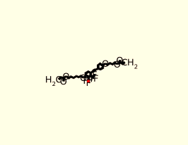 C=CC(=O)OCCCCCCOc1ccc(C#Cc2ccc(OCCCCOC(=O)C=C)cc2)c(C(F)(F)F)c1C(F)(F)F